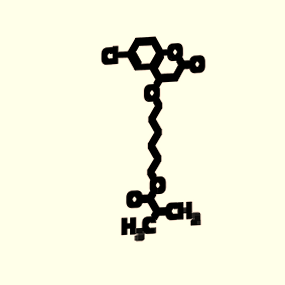 C=C(C)C(=O)OCCCCCCOc1cc(=O)oc2ccc(Cl)cc12